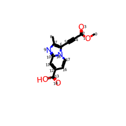 COC(=O)C#Cc1c(C)nc2cc(C(=O)O)ccn12